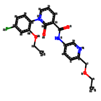 O=C(Nc1ccc(COCC(F)(F)F)nc1)c1cccn(-c2ccc(F)cc2OCC(F)(F)F)c1=O